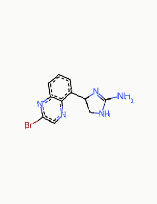 NC1=NC(c2cccc3nc(Br)cnc23)CN1